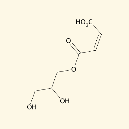 O=C(O)/C=C\C(=O)OCC(O)CO